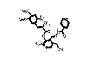 COc1cc(N)c(/C=C(\C)C(=O)Oc2c(C)ncc(CO)c2/C=N/NC(=O)c2ccncc2)cc1OC